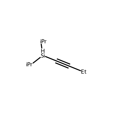 CCC#C[SiH](C(C)C)C(C)C